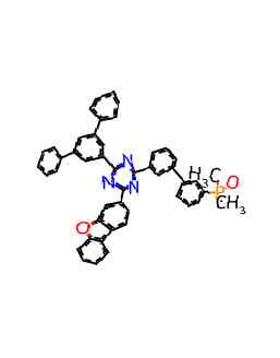 CP(C)(=O)c1cccc(-c2cccc(-c3nc(-c4cc(-c5ccccc5)cc(-c5ccccc5)c4)nc(-c4ccc5c(c4)oc4ccccc45)n3)c2)c1